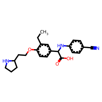 CCc1cc(C(Nc2ccc(C#N)cc2)C(=O)O)ccc1OCCC1CCCN1